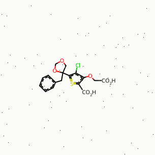 O=C(O)COc1c(C(=O)O)sc(C2(Cc3ccccc3)COCO2)c1Cl